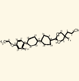 CCCC1(F)COC(C2CCC(C3CCC(c4ccc(OCC)cc4F)CC3)CC2)OC1